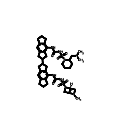 CN(C)CC1CCCCN1S(=O)(=O)NC(=O)Nc1c2c(cc3c1CC(C1Cc4cc5c(c(NC(=O)NS(=O)(=O)N6CC7[C@@H]6CN7C)c4C1)CCC5)C3)CCC2